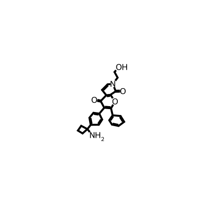 NC1(c2ccc(-c3c(-c4ccccc4)oc4c(=O)n(CCO)ccc4c3=O)cc2)CCC1